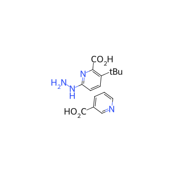 CC(C)(C)c1ccc(NN)nc1C(=O)O.O=C(O)c1cccnc1